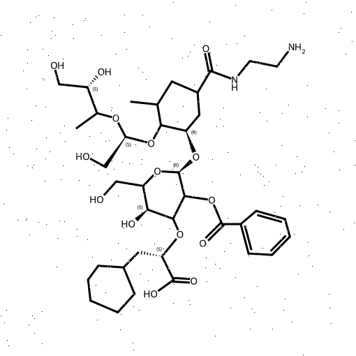 CC1CC(C(=O)NCCN)C[C@@H](O[C@@H]2OC(CO)[C@H](O)C(O[C@@H](CC3CCCCC3)C(=O)O)C2OC(=O)c2ccccc2)C1O[C@@H](CO)OC(C)[C@@H](O)CO